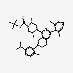 Cc1ccc(C(C)C)cc1N1CCc2nc(-c3c(C)cccc3C)nc(N3C[C@@H](C)N(C(=O)OC(C)(C)C)C[C@@H]3C)c2C1